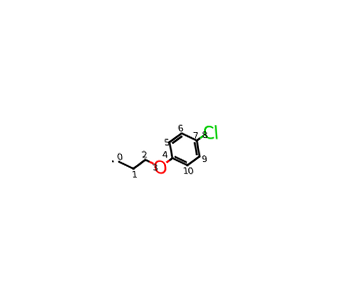 [CH2]CCOc1ccc(Cl)cc1